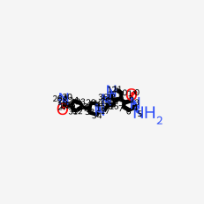 COc1nc(N)ccc1-c1ccnc2c1cc(CN1CCC(c3ccc(C(=O)N(C)C)cc3)CC1)n2C